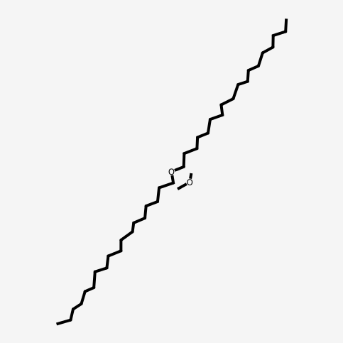 CCCCCCCCCCCCCCCCCCOCCCCCCCCCCCCCCCCCC.COC